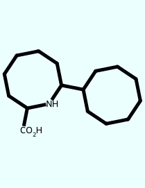 O=C(O)C1CCCCCC(C2CCCCCCC2)N1